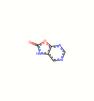 O=c1[nH]c2cncnc2o1